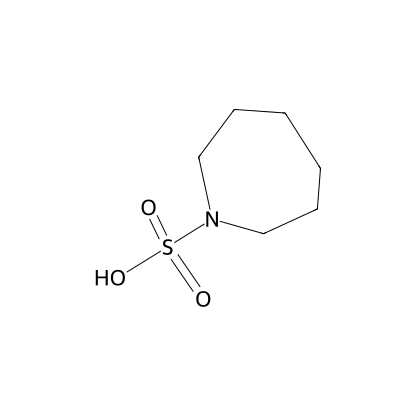 O=S(=O)(O)N1CCCCCC1